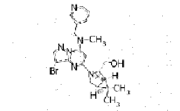 CN(Cc1cccnc1)c1cc(N2C[C@H]3[C@@H]([C@H]2CO)C3(C)C)nc2c(Br)cnn12